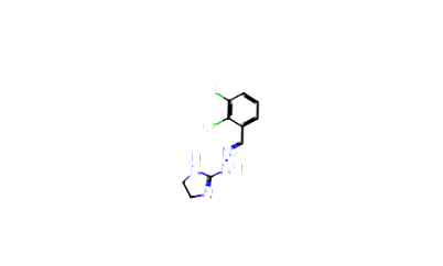 Clc1cccc(/C=N/NC2=NCCN2)c1Cl